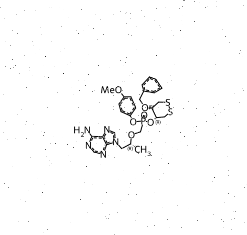 COc1ccc(OP(=O)(CO[C@H](C)Cn2cnc3c(N)ncnc32)O[C@H]2CSSC[C@@H]2OCc2ccccc2)cc1